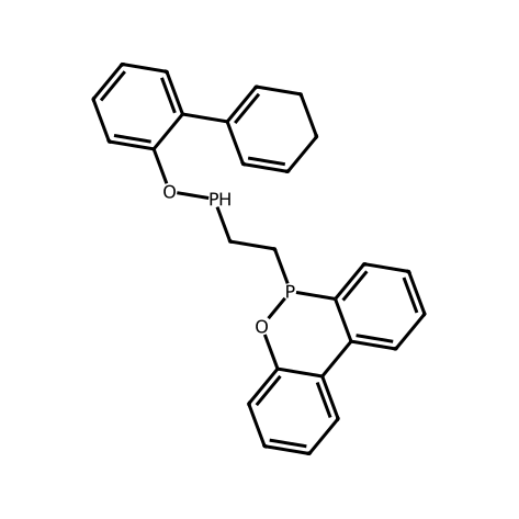 C1=CC(c2ccccc2OPCCP2Oc3ccccc3-c3ccccc32)=CCC1